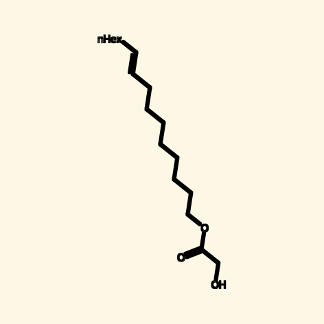 CCCCCCC=CCCCCCCCCOC(=O)CO